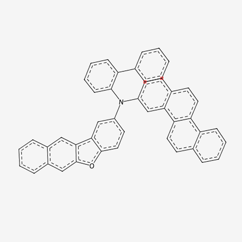 c1ccc(-c2ccccc2N(c2ccc3ccc4c5ccccc5ccc4c3c2)c2ccc3oc4cc5ccccc5cc4c3c2)cc1